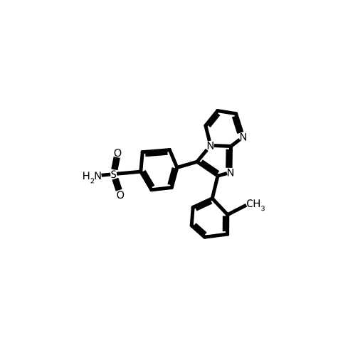 Cc1ccccc1-c1nc2ncccn2c1-c1ccc(S(N)(=O)=O)cc1